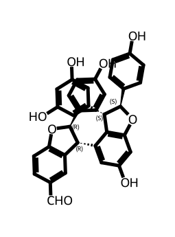 O=Cc1ccc2c(c1)[C@@H](c1cc(O)cc3c1[C@H](c1cc(O)cc(O)c1)[C@@H](c1ccc(O)cc1)O3)[C@H](c1ccc(O)cc1)O2